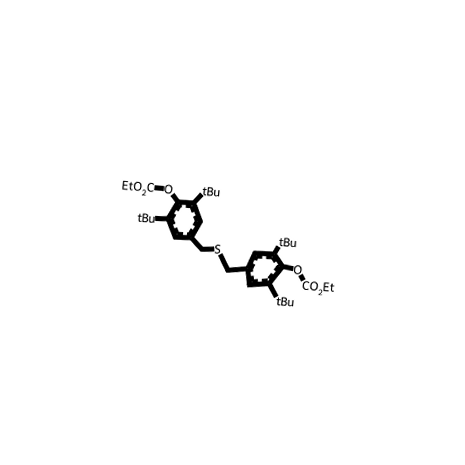 CCOC(=O)Oc1c(C(C)(C)C)cc(CSCc2cc(C(C)(C)C)c(OC(=O)OCC)c(C(C)(C)C)c2)cc1C(C)(C)C